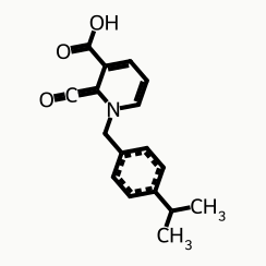 CC(C)c1ccc(CN2C=CC=C(C(=O)O)C2=C=O)cc1